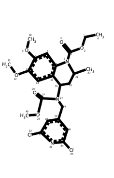 CCOC(=O)N1c2cc(OC)c(OC)cc2C(N(Cc2cc(Cl)nc(Cl)c2)C(=O)OC)CC1C